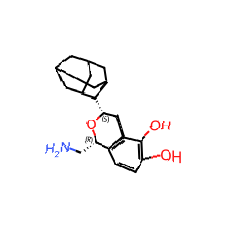 NC[C@@H]1O[C@H](C2C3CC4CC(C3)CC2C4)Cc2c1ccc(O)c2O